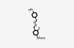 CCCCCc1ccc(/C=N/N=C/c2ccc(CCC)cc2)c(F)c1